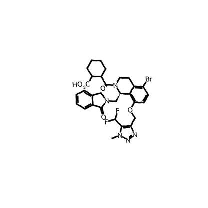 Cn1nnc(COc2ccc(Br)c3c2[C@@H](CN2Cc4ccccc4C2=O)N(C(=O)C2CCCCC2C(=O)O)CC3)c1C(F)F